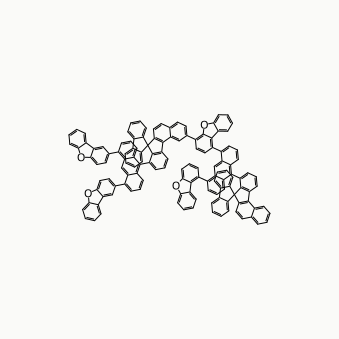 c1ccc2c(c1)-c1ccccc1C21c2ccc3ccc(-c4ccc(-c5cccc6c(-c7cccc8c7C7(c9ccccc9-c9ccccc97)c7ccc9ccccc9c7-8)c7cccc(-c8cccc9oc%10ccccc%10c89)c7cc56)c5c4oc4ccccc45)cc3c2-c2cccc(-c3c4cccc(-c5ccc6oc7ccccc7c6c5)c4cc4c(-c5ccc6oc7ccccc7c6c5)cccc34)c21